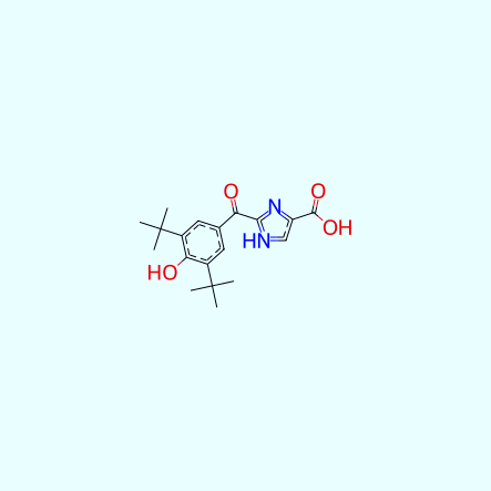 CC(C)(C)c1cc(C(=O)c2nc(C(=O)O)c[nH]2)cc(C(C)(C)C)c1O